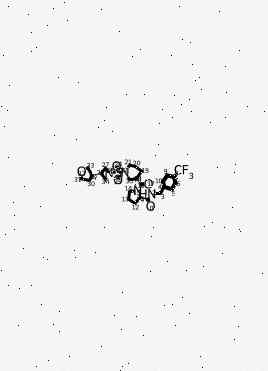 O=C(NCc1ccc(C(F)(F)F)cc1)[C@H]1CCCN1C(=O)[C@H]1CCCN(S(=O)(=O)N2CC([C@@H]3CCOC3)C2)C1